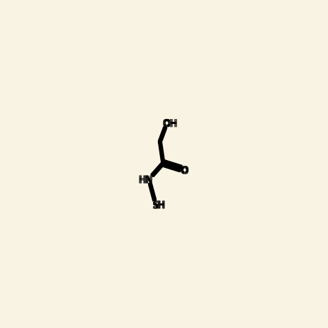 O=C(CO)NS